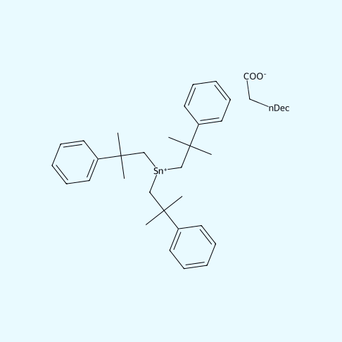 CC(C)([CH2][Sn+]([CH2]C(C)(C)c1ccccc1)[CH2]C(C)(C)c1ccccc1)c1ccccc1.CCCCCCCCCCCC(=O)[O-]